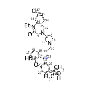 CCN1C(=O)CN(C2CCN(CC/C=C3\C4=CC=CNC4Oc4ccc(C(C)(C)O)cc43)C2)CC2C=CC(Cl)=CC21